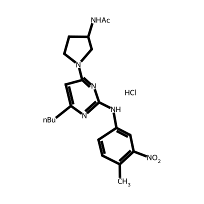 CCCCc1cc(N2CCC(NC(C)=O)C2)nc(Nc2ccc(C)c([N+](=O)[O-])c2)n1.Cl